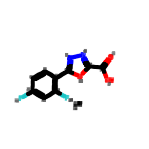 O=C(O)c1nnc(-c2ccc(F)cc2F)o1.[LiH]